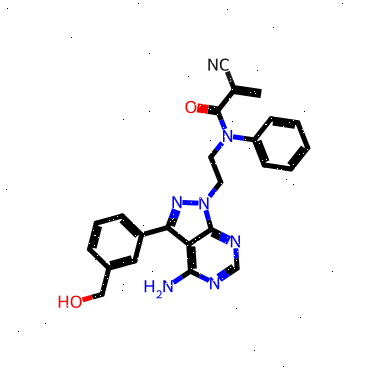 C=C(C#N)C(=O)N(CCn1nc(-c2cccc(CO)c2)c2c(N)ncnc21)c1ccccc1